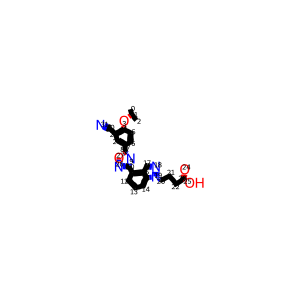 CC(C)Oc1ccc(-c2nc(-c3cccc4c3cnn4CCCC(=O)O)no2)cc1C#N